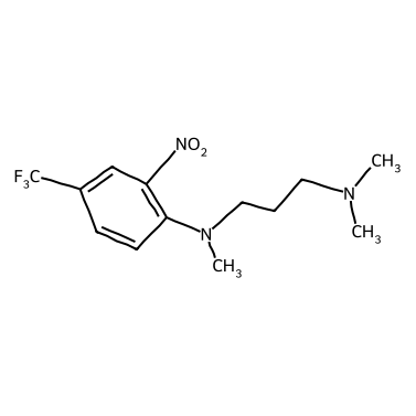 CN(C)CCCN(C)c1ccc(C(F)(F)F)cc1[N+](=O)[O-]